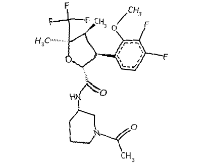 COc1c([C@H]2[C@H](C(=O)NC3CCCN(C(C)=O)C3)O[C@@](C)(C(F)(F)F)[C@H]2C)ccc(F)c1F